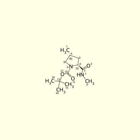 CNC(=O)[C@@H]1C[C@@H](C)CN1C(=O)OC(C)(C)C